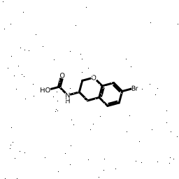 O=C(O)NC1COc2cc(Br)ccc2C1